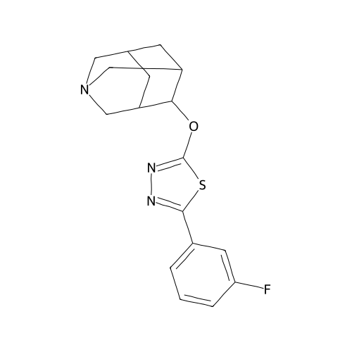 Fc1cccc(-c2nnc(OC3C4CC5CC3CN(C5)C4)s2)c1